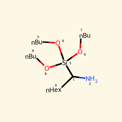 CCCCCCC(N)[Si](OCCCC)(OCCCC)OCCCC